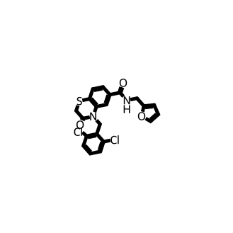 O=C(NCc1ccco1)c1ccc2c(c1)N(Cc1c(Cl)cccc1Cl)C(=O)CS2